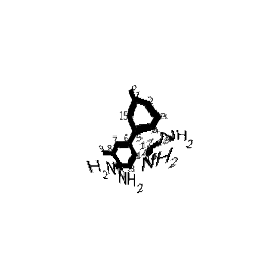 Cc1cccc(C2=CC(C)C(N)(N)C=C2)c1.NCN